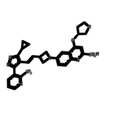 O=C(O)c1cc(O[C@H]2CCOC2)c2cc(N3CC(/C=C/c4c(-c5cccnc5C(F)(F)F)noc4C4CC4)C3)ccc2n1